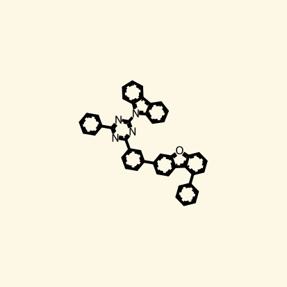 c1ccc(-c2nc(-c3cccc(-c4ccc5c(c4)oc4cccc(-c6ccccc6)c45)c3)nc(-n3c4ccccc4c4ccccc43)n2)cc1